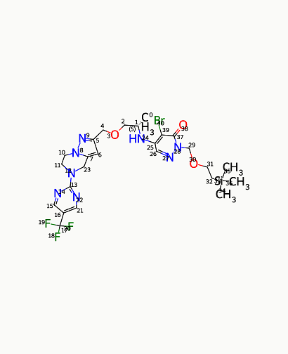 C[C@@H](COCc1cc2n(n1)CCN(c1ncc(C(F)(F)F)cn1)C2)Nc1cnn(COCC[Si](C)(C)C)c(=O)c1Br